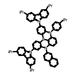 CC(C)c1ccc(N2c3cc(-n4c5ccc(C(C)C)cc5c5cc(C(C)C)ccc54)ccc3B3c4ccc(-n5c6ccc(C(C)C)cc6c6cc(C(C)C)ccc65)cc4N(c4ccc5ccccc5c4)c4cccc2c43)cc1